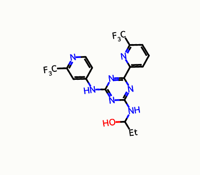 CCC(O)Nc1nc(Nc2ccnc(C(F)(F)F)c2)nc(-c2cccc(C(F)(F)F)n2)n1